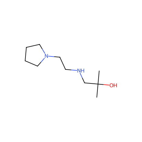 CC(C)(O)CNCCN1CCCC1